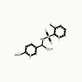 COc1ccc(C(NS(=O)(=O)c2ncccc2C)C(=O)O)cn1